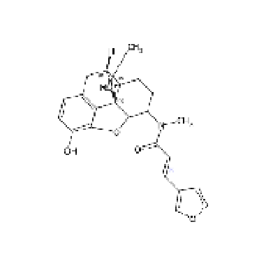 CN(C(=O)/C=C/c1ccoc1)C1CC[C@@]2(O)[C@H]3Cc4ccc(O)c5c4[C@@]2(CCN3C)C1O5